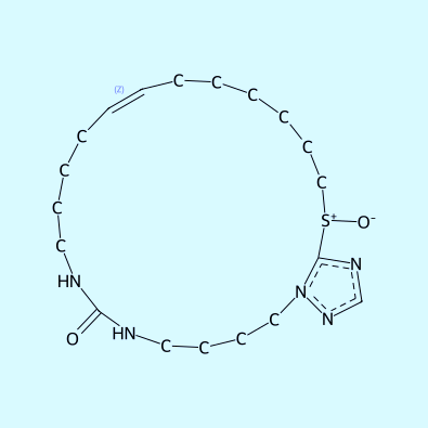 O=C1NCCCC/C=C\CCCCCC[S+]([O-])c2ncnn2CCCCN1